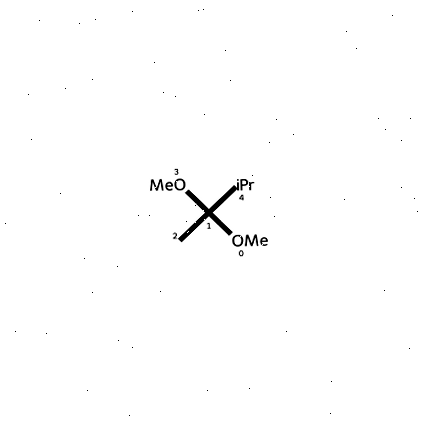 COC(C)(OC)C(C)C